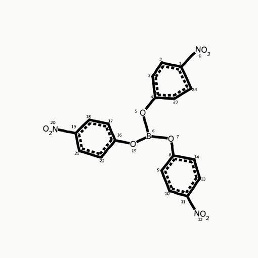 O=[N+]([O-])c1ccc(OB(Oc2ccc([N+](=O)[O-])cc2)Oc2ccc([N+](=O)[O-])cc2)cc1